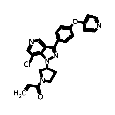 C=CC(=O)N1CCC(n2nc(-c3ccc(Oc4ccncc4)cc3)c3cncc(Cl)c32)C1